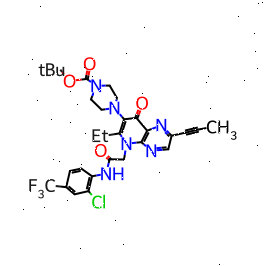 CC#Cc1cnc2c(n1)c(=O)c(N1CCN(C(=O)OC(C)(C)C)CC1)c(CC)n2CC(=O)Nc1ccc(C(F)(F)F)cc1Cl